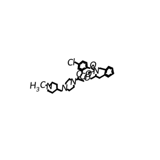 CN1CCC(CN2CCN(C(=O)COCC3Cc4ccccc4CN3S(=O)(=O)c3ccc(Cl)cc3Cl)CC2)CC1